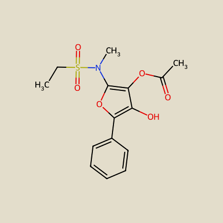 CCS(=O)(=O)N(C)c1oc(-c2ccccc2)c(O)c1OC(C)=O